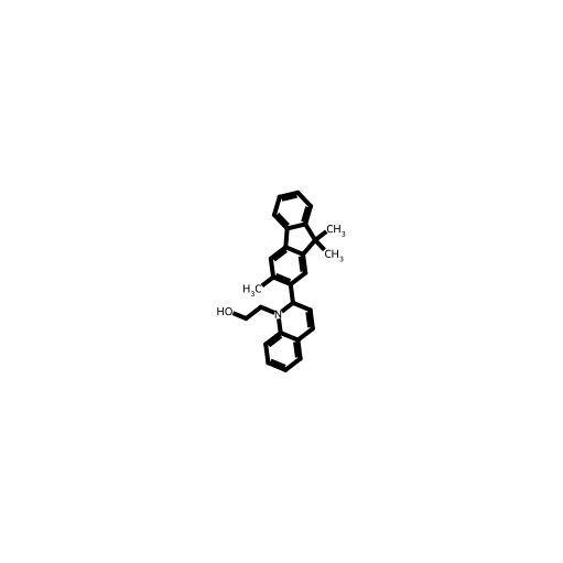 Cc1cc2c(cc1C1C=Cc3ccccc3N1CCO)C(C)(C)c1ccccc1-2